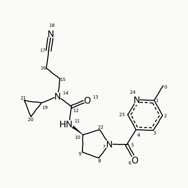 Cc1ccc(C(=O)N2CC[C@@H](NC(=O)N(CCC#N)C3CC3)C2)cn1